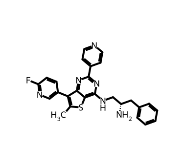 Cc1sc2c(NC[C@@H](N)Cc3ccccc3)nc(-c3ccncc3)nc2c1-c1ccc(F)nc1